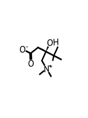 CC(C)(C)[C@@](O)(CC(=O)[O-])C[N+](C)(C)C